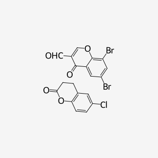 O=C1CCc2cc(Cl)ccc2O1.O=Cc1coc2c(Br)cc(Br)cc2c1=O